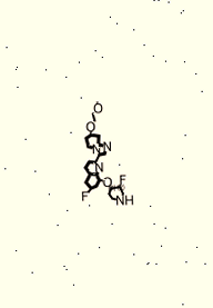 COCCOc1ccn2c(-c3ccc4cc(F)cc(O[C@@H]5CCNC[C@H]5F)c4n3)cnc2c1